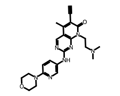 C#Cc1c(C)c2cnc(Nc3ccc(N4CCOCC4)nc3)nc2n(CCN(C)C)c1=O